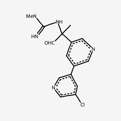 CNC(=N)NC(C)(C=O)c1cncc(-c2cncc(Cl)c2)c1